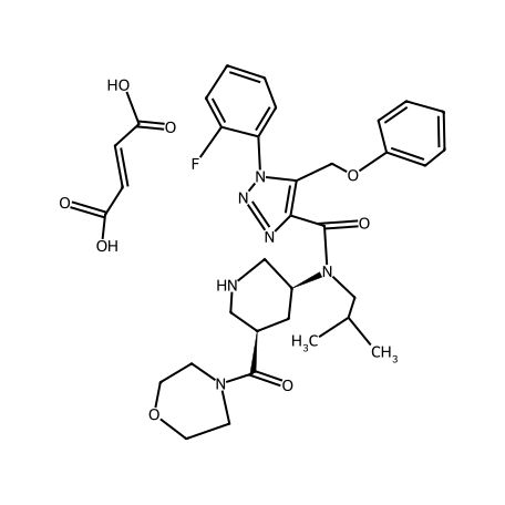 CC(C)CN(C(=O)c1nnn(-c2ccccc2F)c1COc1ccccc1)[C@@H]1CNC[C@H](C(=O)N2CCOCC2)C1.O=C(O)C=CC(=O)O